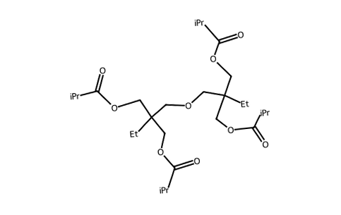 CCC(COCC(CC)(COC(=O)C(C)C)COC(=O)C(C)C)(COC(=O)C(C)C)COC(=O)C(C)C